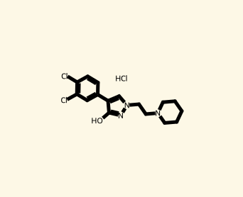 Cl.Oc1nn(CCN2CCCCC2)cc1-c1ccc(Cl)c(Cl)c1